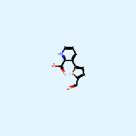 O=Cc1ccc(-c2cccnc2C(=O)O)s1